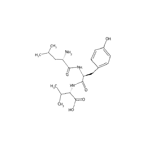 CC(C)C[C@H](N)C(=O)N[C@@H](Cc1ccc(O)cc1)C(=O)N[C@H](C(=O)O)C(C)C